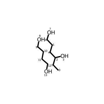 CCC(O)CCCO.OCCCCO